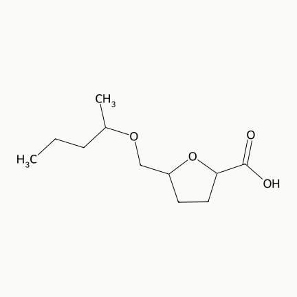 CCCC(C)OCC1CCC(C(=O)O)O1